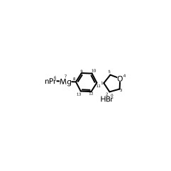 Br.C1CCOC1.CC[CH2][Mg][c]1ccccc1